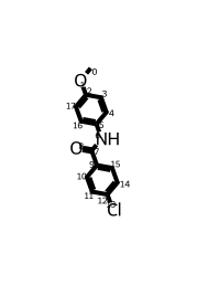 COc1ccc(NC(=O)c2ccc(Cl)cc2)cc1